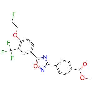 COC(=O)c1ccc(-c2noc(-c3ccc(OCCF)c(C(F)(F)F)c3)n2)cc1